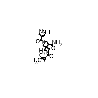 CC1(C)C[C@@H]1C(=O)N1CC2(CN(C(=O)c3cn[nH]c3)CC2C(N)=O)C1